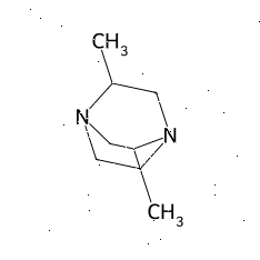 CC1CN2CCN1CC2C